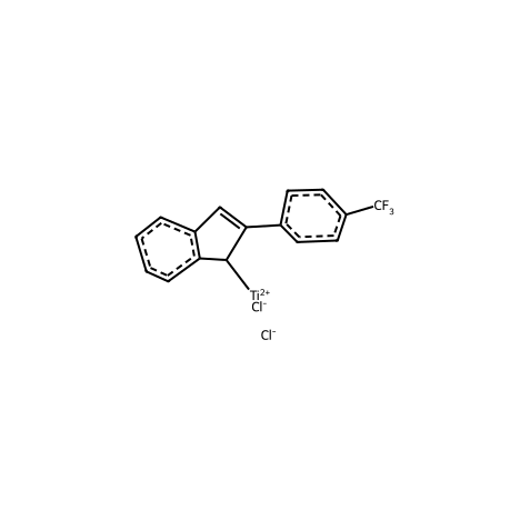 FC(F)(F)c1ccc(C2=Cc3ccccc3[CH]2[Ti+2])cc1.[Cl-].[Cl-]